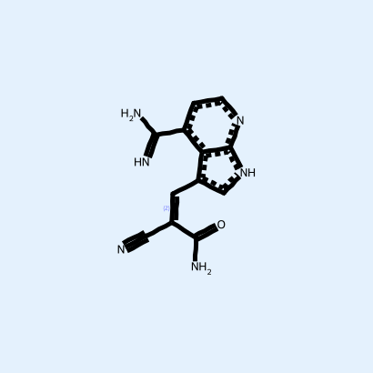 N#C/C(=C/c1c[nH]c2nccc(C(=N)N)c12)C(N)=O